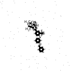 CC1(C)OCC(C)(c2nnc(-c3ccc(Sc4cccc(OCc5ccccc5)c4)c(C(F)(F)F)c3)s2)N1C(=O)O